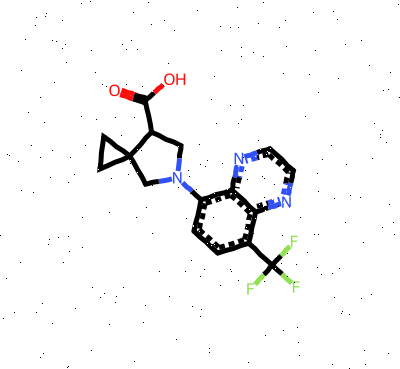 O=C(O)C1CN(c2ccc(C(F)(F)F)c3nccnc23)CC12CC2